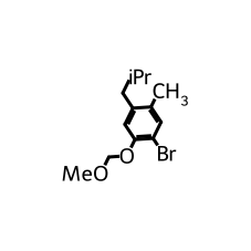 COCOc1cc(CC(C)C)c(C)cc1Br